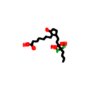 CCCCC(F)(F)C(O)(O)CCC1CCC(=O)[C@@H]1CCCCCCC(=O)O